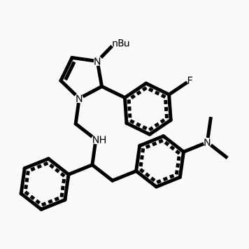 CCCCN1C=CN(CNC(Cc2ccc(N(C)C)cc2)c2ccccc2)C1c1cccc(F)c1